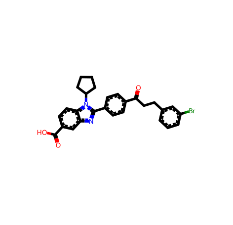 O=C(O)c1ccc2c(c1)nc(-c1ccc(C(=O)CCc3cccc(Br)c3)cc1)n2C1CCCC1